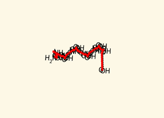 CI=IN[C@@H](CCCCNC(=O)CC[C@H](NC(=O)COCCOCCNC(=O)CC[C@H](NC(=O)COCCOCCNC(=O)CC[C@H](NC(=O)COCCOCCNC(=O)CC[C@H](NC(=O)CC[C@H](NC(=O)CCCCCCCCCCCCCCCCC(=O)O)C(=O)O)C(=O)O)C(=O)O)C(=O)O)C(=O)O)C(=O)N[C@H](C(N)=O)[C@@H](C)O